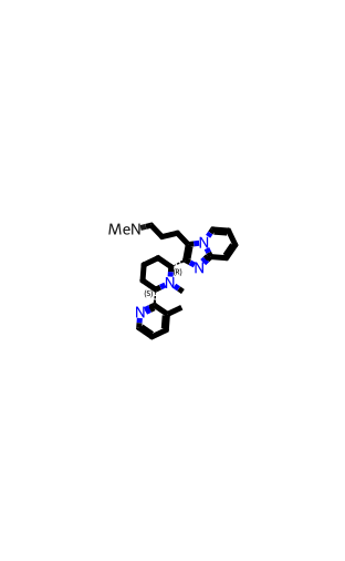 CNCCCc1c([C@H]2CCC[C@@H](c3ncccc3C)N2C)nc2ccccn12